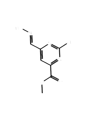 COC(=O)c1cc(/C=N/O)nc(Cl)n1